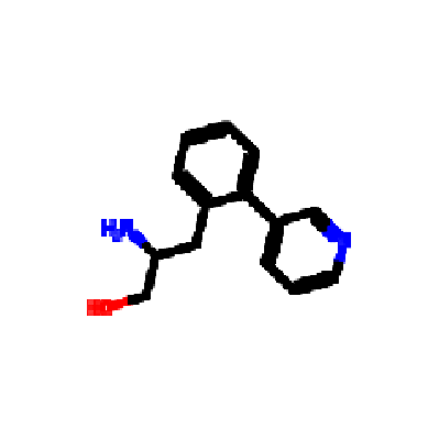 N[C@H](CO)Cc1ccccc1-c1cccnc1